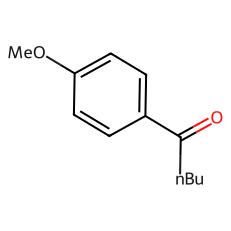 CCCCC(=O)c1ccc(OC)cc1